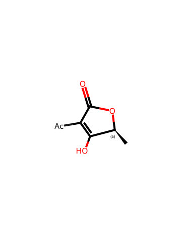 CC(=O)C1=C(O)[C@H](C)OC1=O